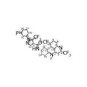 CN(c1cc(C(F)(F)F)nc2ccc(Cl)cc12)[C@H]1CC[C@@H](NC(=O)c2cnn(-c3cccc(F)c3)c2C(F)(F)F)CC1